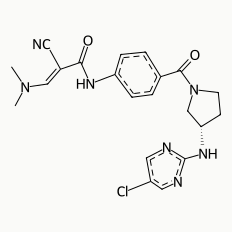 CN(C)C=C(C#N)C(=O)Nc1ccc(C(=O)N2CC[C@H](Nc3ncc(Cl)cn3)C2)cc1